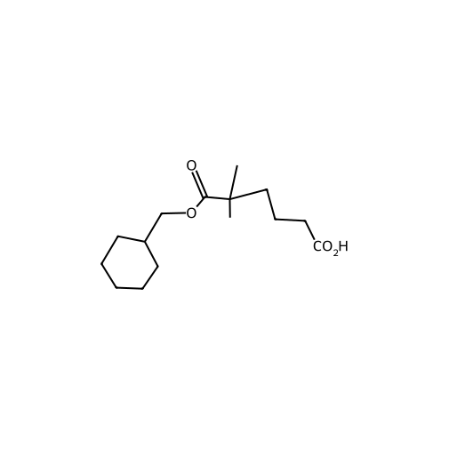 CC(C)(CCCC(=O)O)C(=O)OCC1CCCCC1